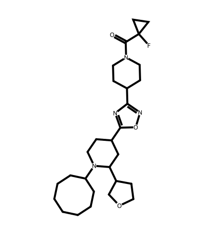 O=C(N1CCC(c2noc(C3CCN(C4CCCCCCC4)C(C4CCOC4)C3)n2)CC1)C1(F)CC1